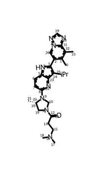 Cc1c(-c2[nH]c3ccc(N4CN(C(=O)CCN(C)C)C[C@@H]4C)nc3c2C(C)C)cn2ncnc2c1C